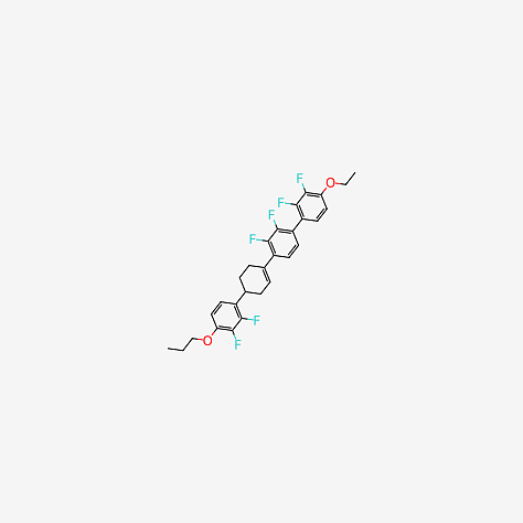 CCCOc1ccc(C2CC=C(c3ccc(-c4ccc(OCC)c(F)c4F)c(F)c3F)CC2)c(F)c1F